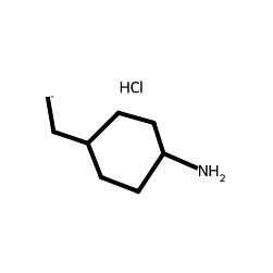 Cl.[CH2]CC1CCC(N)CC1